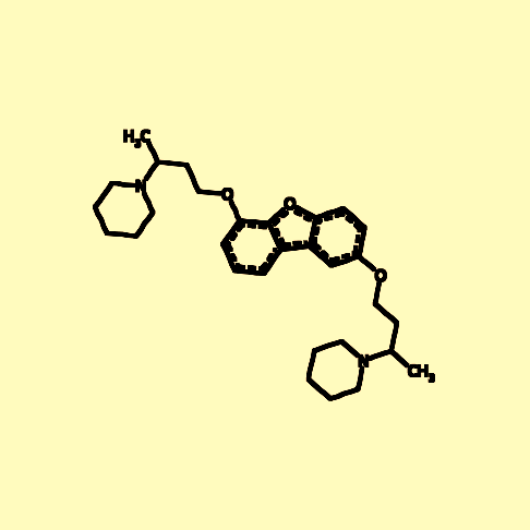 CC(CCOc1ccc2oc3c(OCCC(C)N4CCCCC4)cccc3c2c1)N1CCCCC1